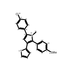 CSc1ccc(-c2c(-c3cccs3)cc(-c3ccc(Cl)cc3)n2C)cc1